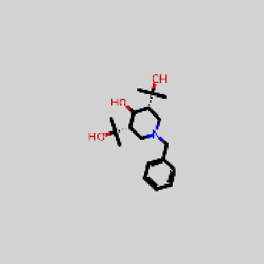 CC(C)(O)[C@@H]1CN(Cc2ccccc2)C[C@H](C(C)(C)O)C1O